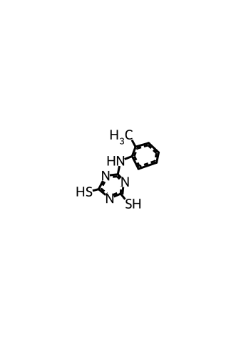 Cc1ccccc1Nc1nc(S)nc(S)n1